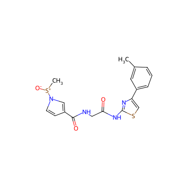 Cc1cccc(-c2csc(NC(=O)CNC(=O)c3ccn([S+](C)[O-])c3)n2)c1